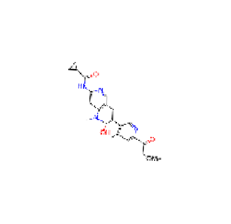 COCC(=O)c1cc(C)c(C2=Cc3cnc(NC(=O)C4CC4)cc3N(C)C2O)cn1